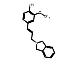 COc1cc(C=CCN2Cc3ccccc3C2)ccc1O